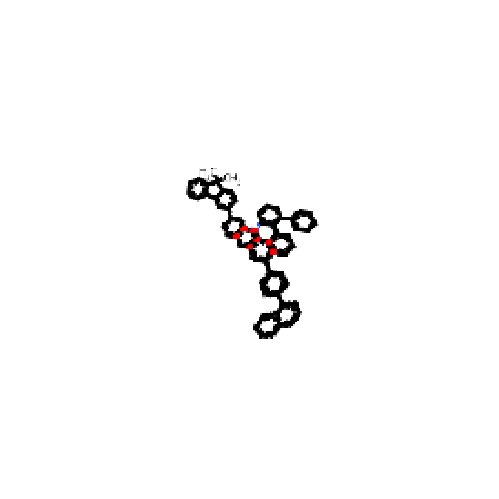 CC1(C)c2ccccc2-c2cc(-c3cccc(N(c4ccc(-c5ccc(-c6cccc7ccccc67)cc5)cc4)c4cccc(-c5ccccc5)c4-c4ccccc4-c4ccccc4)c3)ccc21